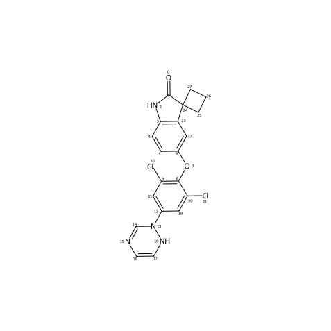 O=C1Nc2ccc(Oc3c(Cl)cc(N4C=NC=CN4)cc3Cl)cc2C12CCC2